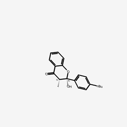 CCCCc1ccc([C@]2(O)Oc3ccccc3C(=O)[C@H]2C)cc1